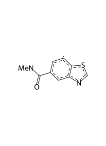 CNC(=O)c1c[c]c2scnc2c1